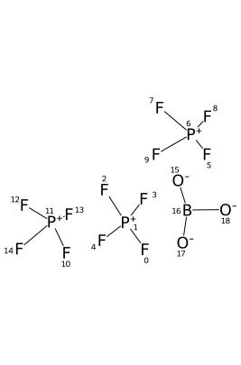 F[P+](F)(F)F.F[P+](F)(F)F.F[P+](F)(F)F.[O-]B([O-])[O-]